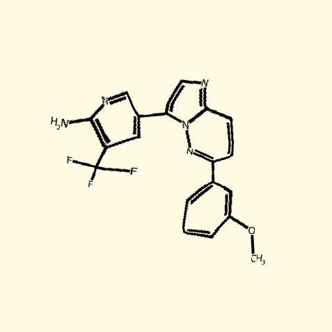 COc1cccc(-c2ccc3ncc(-c4cnc(N)c(C(F)(F)F)c4)n3n2)c1